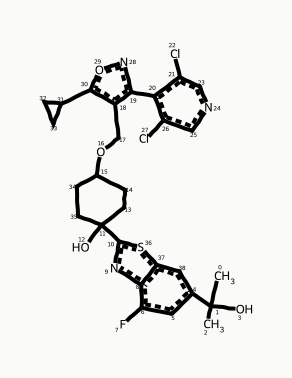 CC(C)(O)c1cc(F)c2nc(C3(O)CCC(OCc4c(-c5c(Cl)cncc5Cl)noc4C4CC4)CC3)sc2c1